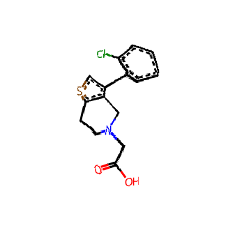 O=C(O)CN1CCc2scc(-c3ccccc3Cl)c2C1